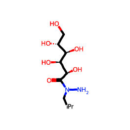 CC(C)CN(N)C(=O)[C@H](O)[C@@H](O)[C@H](O)[C@H](O)CO